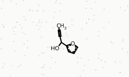 CC#CC(O)c1ccco1